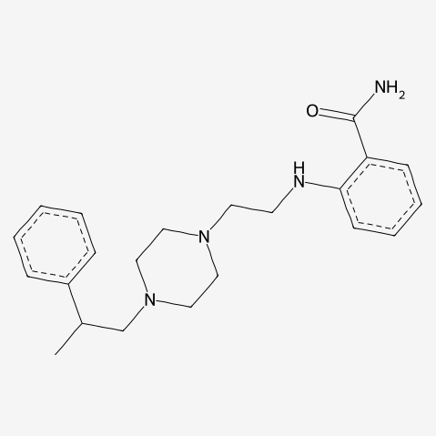 CC(CN1CCN(CCNc2ccccc2C(N)=O)CC1)c1ccccc1